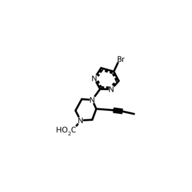 CC#CC1CN(C(=O)O)CCN1c1ncc(Br)cn1